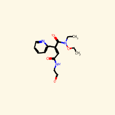 CCON(CC)C(=O)C(=CC(=O)NC[C]=O)c1ccccn1